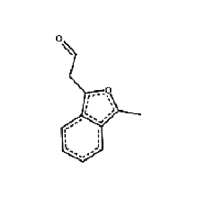 Cc1oc(CC=O)c2ccccc12